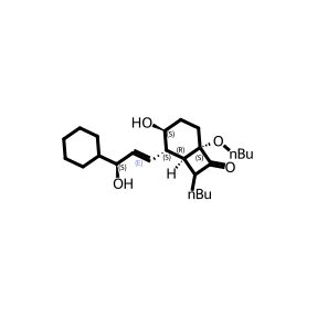 CCCCO[C@@]12CC[C@H](O)[C@@H](/C=C/[C@@H](O)C3CCCCC3)[C@@H]1C(CCCC)C2=O